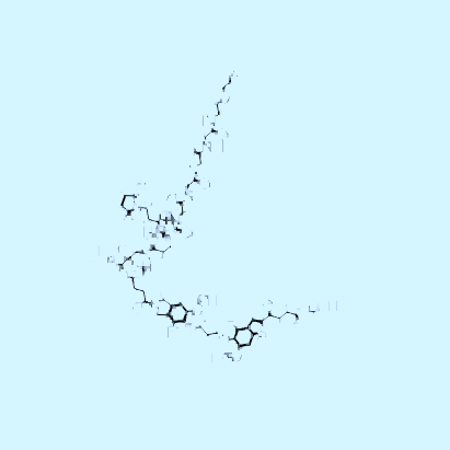 CCOC(=O)CCC(=O)c1cc2c(F)c(OCCCOc3c(OC)cc4c(c3F)CN(C(=O)CCC(=O)OC(C)C(C)(C)CNC(=O)CC[Si@H](NC(=O)CCN3C(=O)C=CC3=O)C(=O)NCC(=O)NCC(=O)NCC(=O)NCC(=O)NCCOCCO)C4)c(OC)cc2s1